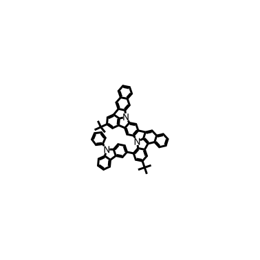 CC(C)(C)c1cc(-c2ccc3c(c2)c2ccccc2n3-c2ccccc2)c2c(c1)c1c3ccccc3cc3c4cc5c(cc4n2c31)c1cc(C(C)(C)C)cc2c3cc4ccccc4cc3n5c21